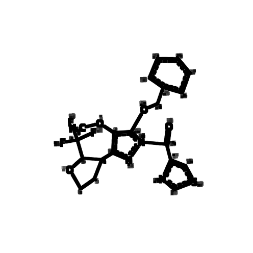 COc1c(C2CCOC2C(F)(F)F)nn(C(=O)c2cscn2)c1OCc1ccccc1